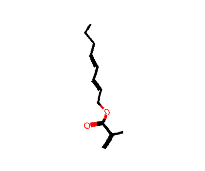 C=C(C)C(=O)OCC=CC=CCCC